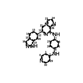 c1cc(Nc2ccc(Nc3nc(-c4ccc5cn[nH]c5c4)cn4ccnc34)cc2)ccn1